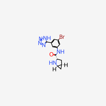 O=C(Nc1cc(Br)cc(-c2nnn[nH]2)c1)[C@@H]1C[C@H]2C[C@H]2N1